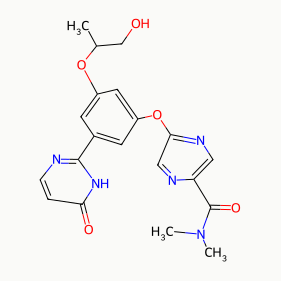 CC(CO)Oc1cc(Oc2cnc(C(=O)N(C)C)cn2)cc(-c2nccc(=O)[nH]2)c1